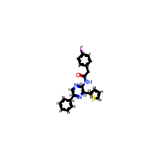 O=C(Cc1ccc(I)cc1)Nc1ncc(-c2ccccc2)nc1-c1cccs1